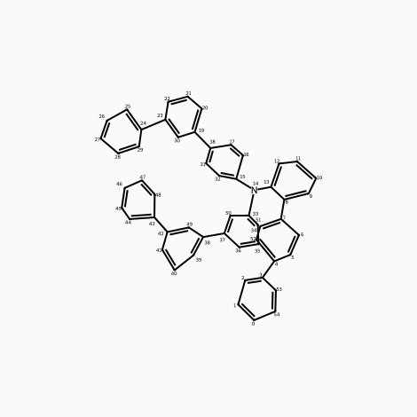 c1ccc(-c2ccc(-c3ccccc3N(c3ccc(-c4cccc(-c5ccccc5)c4)cc3)c3cccc(-c4cccc(-c5ccccc5)c4)c3)cc2)cc1